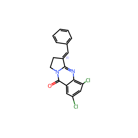 O=c1c2cc(Cl)cc(Cl)c2nc2n1CC/C2=C\c1ccccc1